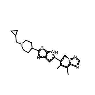 Cc1c(-c2cc3nc(C4CCN(CC5CC5)CC4)sc3[nH]2)cn2ncnc2c1C